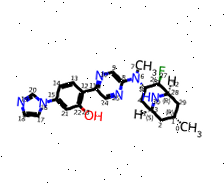 C[C@@H]1C[C@H]2C[C@H](N(C)c3cnc(-c4ccc(-n5ccnc5)cc4O)cn3)[C@@H](F)[C@@H](C1)N2